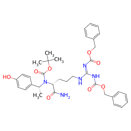 C[C@H](c1ccc(O)cc1)N(C(=O)OC(C)(C)C)[C@H](CCCNC(=NC(=O)OCc1ccccc1)NC(=O)OCc1ccccc1)C(N)=O